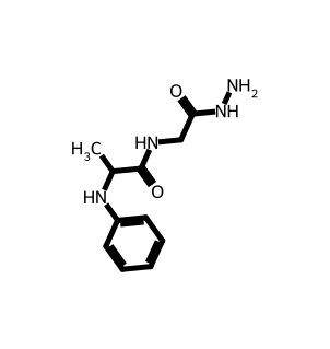 CC(Nc1ccccc1)C(=O)NCC(=O)NN